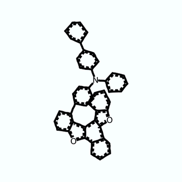 c1ccc(-c2ccc(N(c3ccccc3)c3ccc(-c4cccc5oc6c7ccccc7c7oc8ccccc8c7c6c45)cc3)cc2)cc1